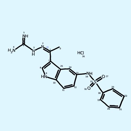 C/C(=N/NC(=N)N)c1c[nH]c2ccc(NS(=O)(=O)c3ccccc3)cc12.Cl